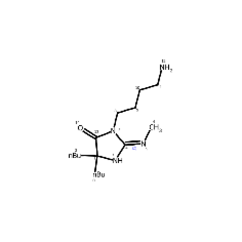 CCCCC1(CCCC)N/C(=N/C)N(CCCCN)C1=O